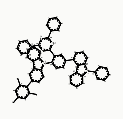 Cc1cc(C)c(-c2ccc3c(c2)c2ccccc2n3-c2ccc(-c3cccc4c3c3ccccc3n4-c3ccccc3)cc2-c2nc(-c3ccccc3)nc(-c3ccccc3)n2)c(C)c1